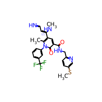 CN/C(=C\C=N)c1cc(C(=O)NCc2ccc(SC)cn2)c(=O)n(-c2cccc(C(F)(F)F)c2)c1C